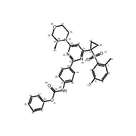 Cc1ccc(F)cc1S(=O)(=O)C1(c2cc(N3CCOC[C@@H]3C)nc(-c3ccc(NC(=O)Oc4ccccc4)cc3)n2)CC1